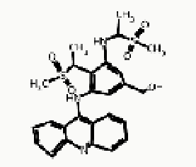 CC(Nc1cc(CO)cc(Nc2c3ccccc3nc3ccccc23)c1C(C)S(C)(=O)=O)S(C)(=O)=O